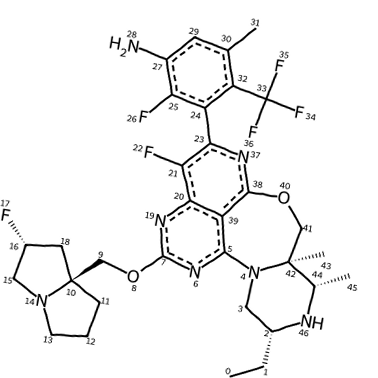 CC[C@@H]1CN2c3nc(OC[C@@]45CCCN4C[C@H](F)C5)nc4c(F)c(-c5c(F)c(N)cc(C)c5C(F)(F)F)nc(c34)OC[C@@]2(C)[C@H](C)N1